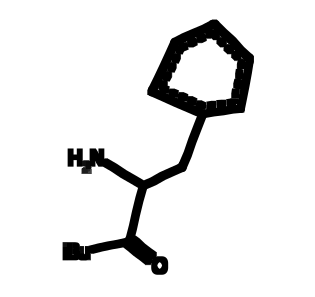 CCC(C)C(=O)C(N)Cc1ccccc1